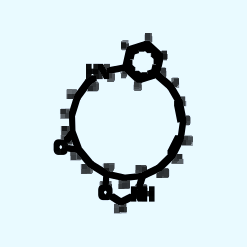 C1=CCc2cccc(c2)NCCCC2OC2CC2CC(CC=C1)NCO2